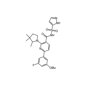 CC(C)COc1cc(F)cc(-c2ccc(C(=O)NS(=O)(=O)c3ccn[nH]3)c(N3CCC(C)(C)C3C)n2)c1